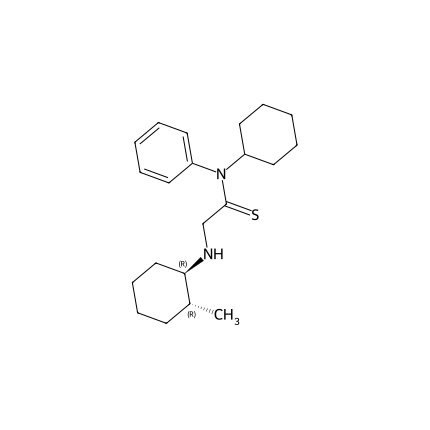 C[C@@H]1CCCC[C@H]1NCC(=S)N(c1ccccc1)C1CCCCC1